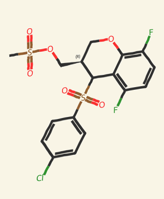 CS(=O)(=O)OC[C@H]1COc2c(F)ccc(F)c2C1S(=O)(=O)c1ccc(Cl)cc1